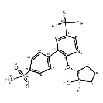 C[C@@]1(O)CCC[C@H]1Oc1ncc(C(F)(F)F)cc1-c1ccc(S(N)(=O)=O)cc1